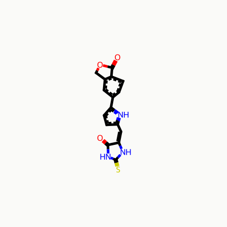 O=C1NC(=S)N/C1=C/c1ccc(-c2ccc3c(c2)COC3=O)[nH]1